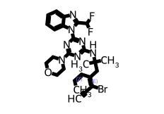 C#C/C(Br)=C(\C=C/C)CC(C)(C)Nc1nc(N2CCOCC2)nc(-n2c(C(F)F)nc3ccccc32)n1